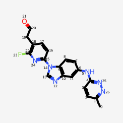 Cc1ccc(Nc2ccc3c(c2)ncn3-c2ccc(CC=O)c(F)n2)nn1